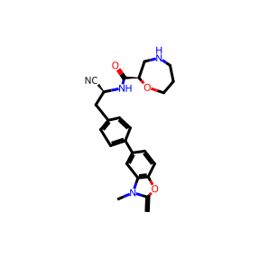 C=C1Oc2ccc(-c3ccc(C[C@@H](C#N)NC(=O)[C@H]4CNCCCO4)cc3)cc2N1C